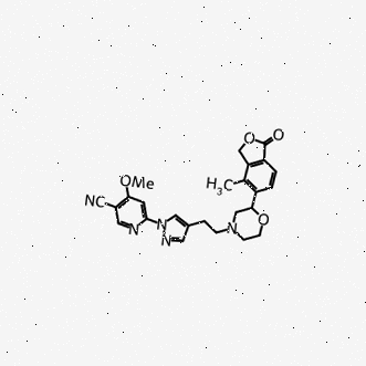 COc1cc(-n2cc(CCN3CCOC(c4ccc5c(c4C)COC5=O)C3)cn2)ncc1C#N